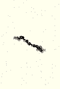 O=C1CCC(N2C(=O)c3ccc(N4CCN(CCC5CCN(Cc6cccc(OCCn7ccc8ccc(C(=O)NO)cc87)c6)CC5)CC4)cc3C2=O)C(=O)N1